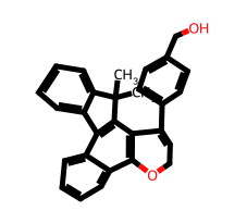 CC1(C)c2ccccc2-c2c1c1c(c3ccccc23)OCC=C1c1ccc(CO)cc1